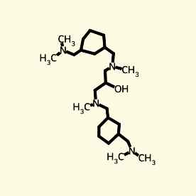 CN(C)CC1CCCC(CN(C)CC(O)CN(C)CC2CCCC(CN(C)C)C2)C1